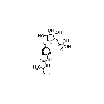 CC(C)NC(=O)Nc1ccc(O[C@H]2O[C@H](CSP(=O)(O)O)[C@@H](O)[C@H](O)[C@@H]2O)cc1